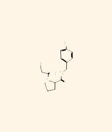 CC(C)CC(=O)N1CCCC1C(=O)NCc1ccc(F)cc1